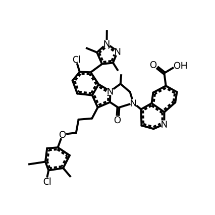 Cc1cc(OCCCc2c3n(c4c(-c5c(C)nn(C)c5C)c(Cl)ccc24)C(C)CN(c2ccnc4ccc(C(=O)O)cc24)C3=O)cc(C)c1Cl